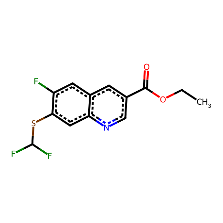 CCOC(=O)c1cnc2cc(SC(F)F)c(F)cc2c1